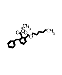 CCCCCCOC(=O)c1cccc(Cc2ccccc2)c1C(=O)OCC